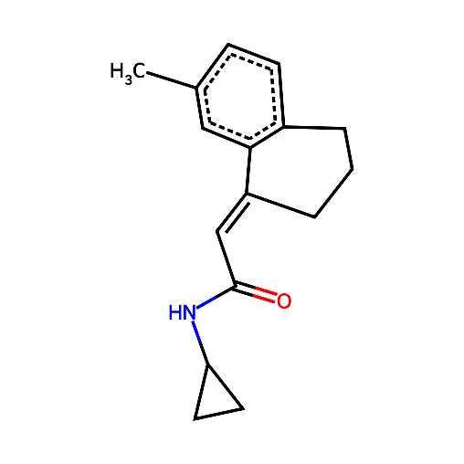 Cc1ccc2c(c1)C(=CC(=O)NC1CC1)CCC2